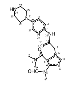 CN(C)C(=O)c1c(N(C)C=O)ncn1CC(=O)Nc1ccc(N2CCNCC2)cn1